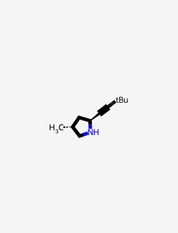 C[C@H]1CN[C@H](C#CC(C)(C)C)C1